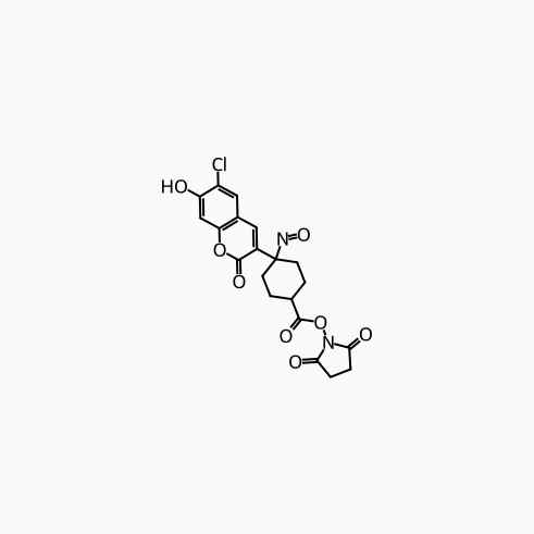 O=NC1(c2cc3cc(Cl)c(O)cc3oc2=O)CCC(C(=O)ON2C(=O)CCC2=O)CC1